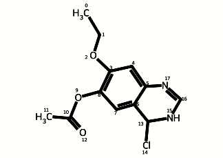 CCOc1cc2c(cc1OC(C)=O)C(Cl)NC=N2